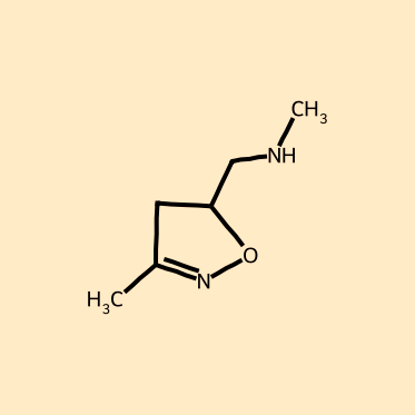 CNCC1CC(C)=NO1